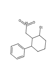 CCC1CCCC(c2ccccc2)C1C[SH](=O)=O